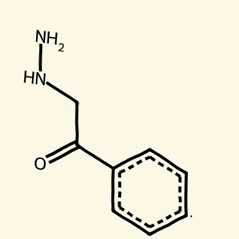 NNCC(=O)c1cc[c]cc1